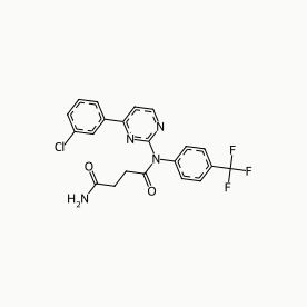 NC(=O)CCC(=O)N(c1ccc(C(F)(F)F)cc1)c1nccc(-c2cccc(Cl)c2)n1